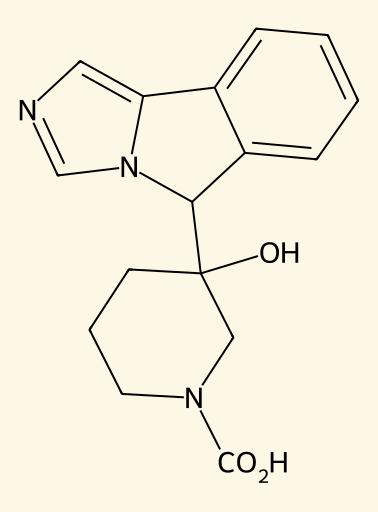 O=C(O)N1CCCC(O)(C2c3ccccc3-c3cncn32)C1